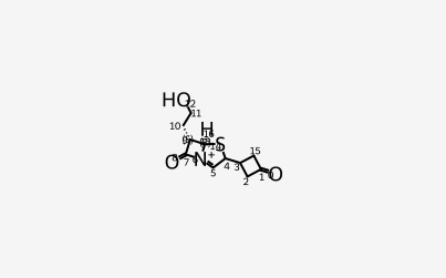 O=C1CC(C2C=[N+]3C(=O)[C@H](CCO)[C@H]3S2)C1